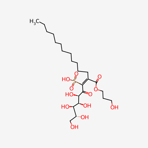 CCCCCCCCCCCCC(C(=O)OCCCO)=C(C(=O)[C@H](O)[C@@H](O)[C@H](O)[C@H](O)CO)S(=O)(=O)O